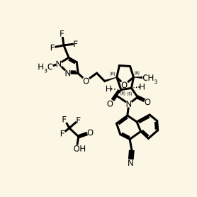 Cn1nc(OCC[C@@]23CC[C@@](C)(O2)[C@H]2C(=O)N(c4ccc(C#N)c5ccccc45)C(=O)[C@H]23)cc1C(F)(F)F.O=C(O)C(F)(F)F